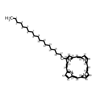 CCCCCCCCCCCCCCCCCCOC1=CC2=NC1=CC1=NC(=CC3=NC(=CC4=NC(=C2)C=C4)C=C3)C=C1